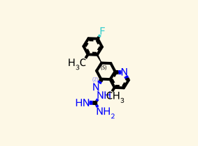 Cc1ccc(F)cc1[C@@H]1C/C(=N/NC(=N)N)c2c(C)ccnc2C1